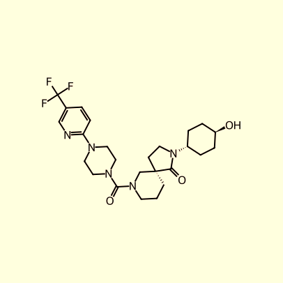 O=C(N1CCN(c2ccc(C(F)(F)F)cn2)CC1)N1CCC[C@@]2(CCN([C@H]3CC[C@H](O)CC3)C2=O)C1